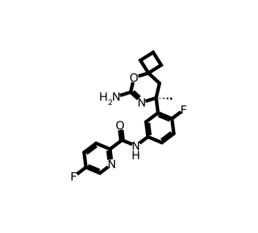 C[C@@]1(c2cc(NC(=O)c3ccc(F)cn3)ccc2F)CC2(CCC2)OC(N)=N1